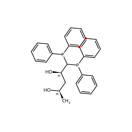 C[C@@H](O)C[C@@H](O)C(P(c1ccccc1)c1ccccc1)P(c1ccccc1)c1ccccc1